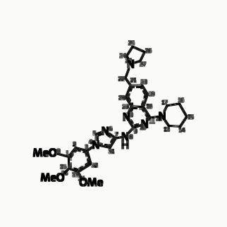 COc1cc(-n2cnc(Nc3nc(N4CCCCC4)c4ccc(CN5CCCC5)cc4n3)c2)cc(OC)c1OC